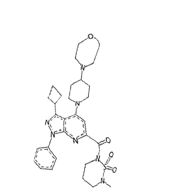 CN1CCCN(C(=O)c2cc(N3CCC(N4CCOCC4)CC3)c3c(C4CCC4)nn(-c4ccccc4)c3n2)S1(=O)=O